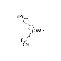 CCC[C@H]1CC[C@H]([C@H]2CC[C@@](CCC=CC=C(F)C#N)(OC)CC2)CC1